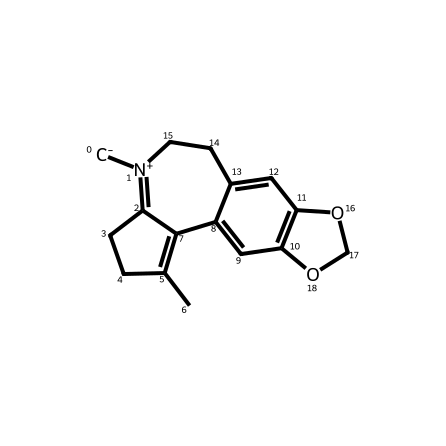 [CH2-][N+]1=C2CCC(C)=C2c2cc3c(cc2CC1)OCO3